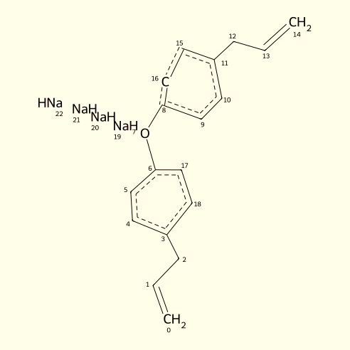 C=CCc1ccc(Oc2ccc(CC=C)cc2)cc1.[NaH].[NaH].[NaH].[NaH]